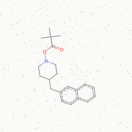 CC(C)(C)C(=O)ON1CCC(Cc2ccc3ccccc3c2)CC1